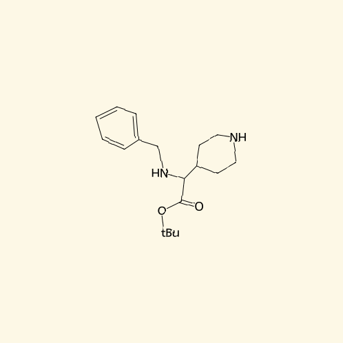 CC(C)(C)OC(=O)C(NCc1ccccc1)C1CCNCC1